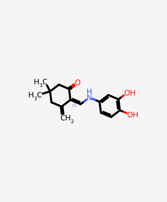 C=C1CC(C)(C)CC(=O)/C1=C\Nc1ccc(O)c(O)c1